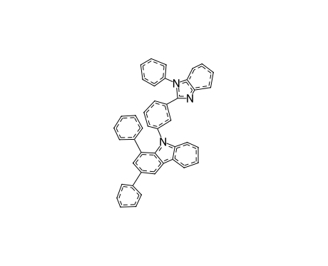 c1ccc(-c2cc(-c3ccccc3)c3c(c2)c2ccccc2n3-c2cccc(-c3nc4ccccc4n3-c3ccccc3)c2)cc1